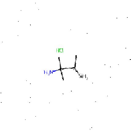 CC([SiH3])C(C)(C)N.Cl